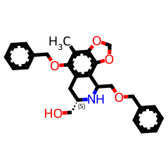 Cc1c(OCc2ccccc2)c2c(c3c1OCO3)C(COCc1ccccc1)N[C@H](CO)C2